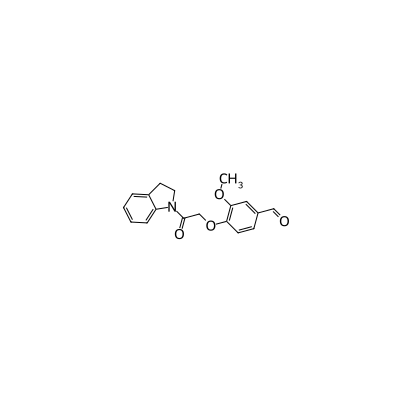 COc1cc(C=O)ccc1OCC(=O)N1CCc2ccccc21